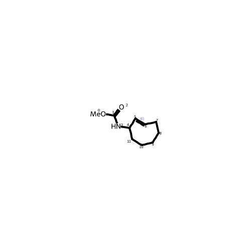 COC(=O)NC1/C=C/CCCCC1